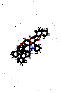 c1ccc(C2(c3ccccc3)c3ccccc3-c3ccc(N(c4ccccc4-c4cccc5c4oc4c6ccccc6ccc54)c4cccc5oc6ccccc6c45)cc32)cc1